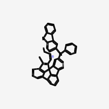 CC/C=C\C1=C(C)c2cccc3c2C12c1cc(N(c4ccccc4)c4ccc5sc6ccccc6c5c4)ccc1-c1cccc-3c12